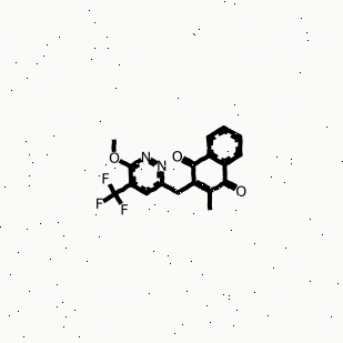 COc1nnc(CC2=C(C)C(=O)c3ccccc3C2=O)cc1C(F)(F)F